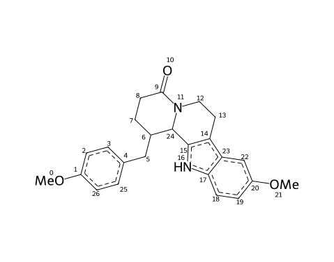 COc1ccc(CC2CCC(=O)N3CCc4c([nH]c5ccc(OC)cc45)C23)cc1